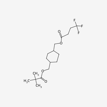 CC(C)(C)C(=O)OCC1CCC(COC(=O)CCC(F)(F)F)CC1